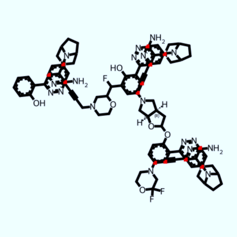 Nc1nnc(-c2ccccc2O)cc1N1CC2CCC(C1)N2c1ccnc(C#CCN2CCOC(C(F)c3cccc(-c4cc(N5CC6CCC(C5)N6c5ccnc(C#CCN6C[C@H]7CC(Oc8ccccc8-c8cc(N9CC%10CCC(C9)N%10c9ccnc(C#CCN%10CCOC(F)(F)C%10)c9)c(N)nn8)O[C@H]7C6)c5)c(N)nn4)c3O)C2)c1